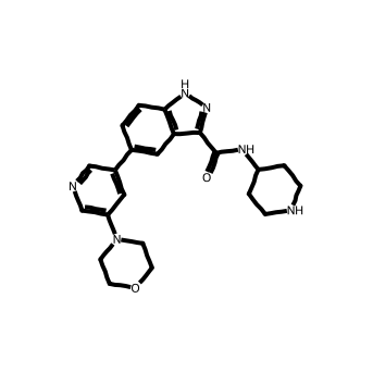 O=C(NC1CCNCC1)c1n[nH]c2ccc(-c3cncc(N4CCOCC4)c3)cc12